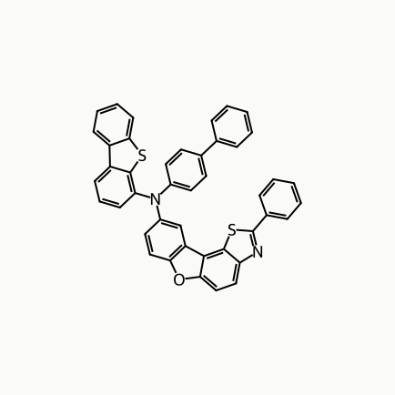 c1ccc(-c2ccc(N(c3ccc4oc5ccc6nc(-c7ccccc7)sc6c5c4c3)c3cccc4c3sc3ccccc34)cc2)cc1